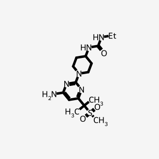 CCNC(=O)NC1CCN(c2nc(N)cc(C(C)(C)S(C)(=O)=O)n2)CC1